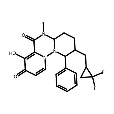 CN1C(=O)c2c(O)c(=O)ccn2N2C(c3ccccc3)C(CC3CC3(F)F)CCC12